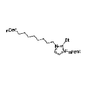 CCCCCCCCCCCCCCCCCCn1cc[n+](CCCCC)c1CC